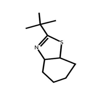 CC(C)(C)C1=NC2CCCCC2S1